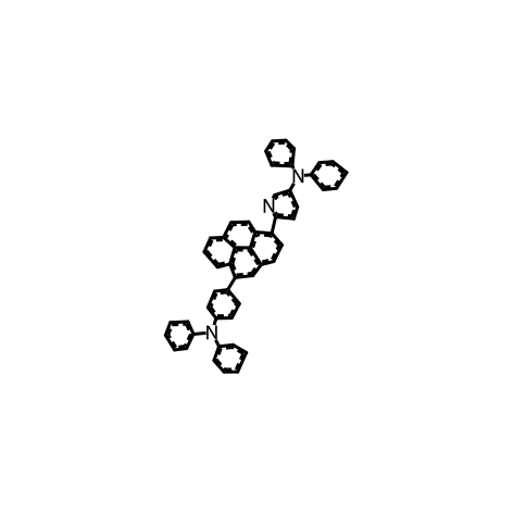 c1ccc(N(c2ccccc2)c2ccc(-c3cc4ccc(-c5ccc(N(c6ccccc6)c6ccccc6)cn5)c5ccc6cccc3c6c45)cc2)cc1